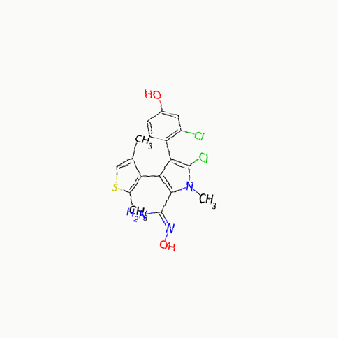 Cc1csc(C)c1-c1c(-c2ccc(O)cc2Cl)c(Cl)n(C)c1/C(N)=N/O